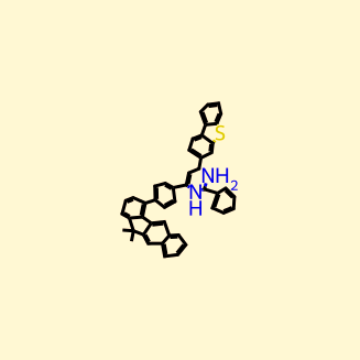 CC1(C)c2cc3ccccc3cc2-c2c(-c3ccc(/C(=C/Cc4ccc5c(c4)sc4ccccc45)NC(N)c4ccccc4)cc3)cccc21